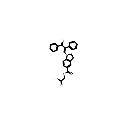 CCCCC(CC)COC(=O)c1ccc2c(c1)CCN2/C=C(/C(=O)c1ccncc1)c1ccccc1